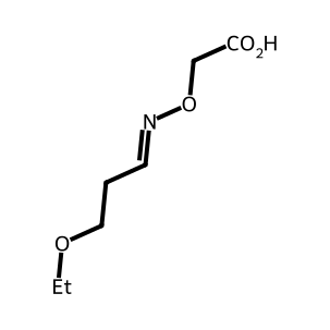 CCOCCC=NOCC(=O)O